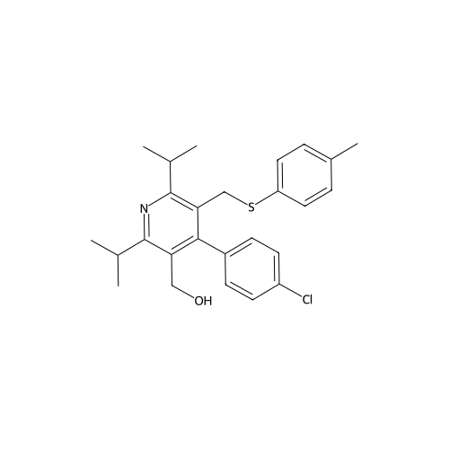 Cc1ccc(SCc2c(C(C)C)nc(C(C)C)c(CO)c2-c2ccc(Cl)cc2)cc1